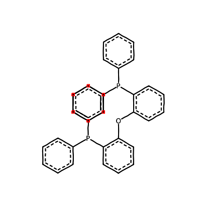 C1=CC(P(c2ccccc2)c2ccccc2Oc2ccccc2P(c2ccccc2)c2ccccc2)=CCC1